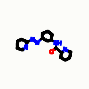 O=C(Nc1cccc(/N=N/c2ccccn2)c1)c1ccccn1